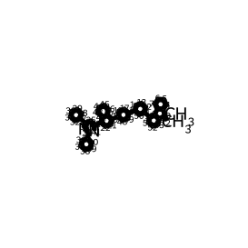 CC1(C)c2ccccc2-c2c(-c3cccc(-c4ccc(-c5ccc(-c6cc(-c7ccccc7)nc(-c7ccccc7)n6)c6ccccc56)cc4)c3)cccc21